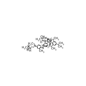 CCN(CCNS(C)(=O)=O)c1ccc(Nc2ccc(NS(=O)(=O)c3c(C(C)C)cc(C(C)C)cc3C(C)C)c(NC(=O)C(C)(C)C)c2)c(C)c1